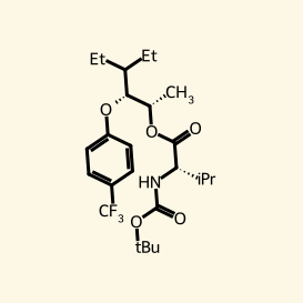 CCC(CC)[C@@H](Oc1ccc(C(F)(F)F)cc1)[C@H](C)OC(=O)[C@@H](NC(=O)OC(C)(C)C)C(C)C